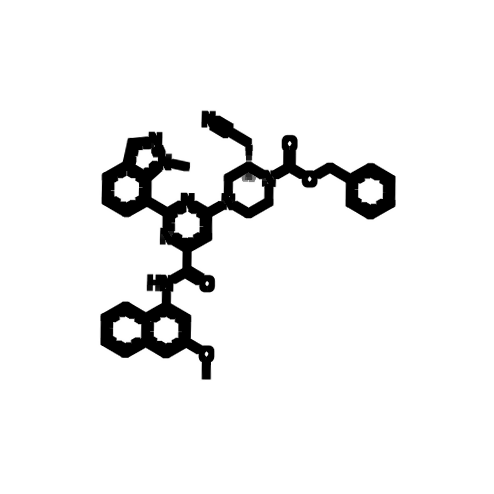 COc1cc(NC(=O)c2cc(N3CCN(C(=O)OCc4ccccc4)[C@@H](CC#N)C3)nc(-c3cccc4cnn(C)c34)n2)c2ccccc2c1